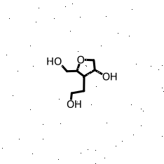 OCCC1C(O)COC1CO